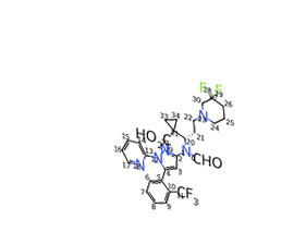 O=CN(c1cc(-c2ccccc2C(F)(F)F)n(-c2ccccn2)n1)[C@@H](CCN1CCCC(F)(F)C1)C1(C(=O)O)CC1